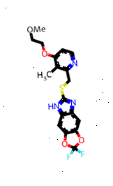 COCCOc1ccnc(CSc2nc3cc4c(cc3[nH]2)OC(F)(F)O4)c1C